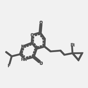 CCC1(CCCc2cc(=O)oc3nc(C(C)F)[nH]c(=O)c23)CC1